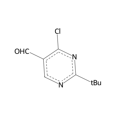 CC(C)(C)c1ncc(C=O)c(Cl)n1